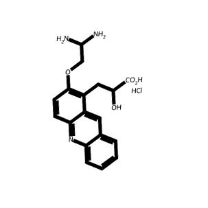 Cl.NC(N)COc1ccc2nc3ccccc3cc2c1CC(O)C(=O)O